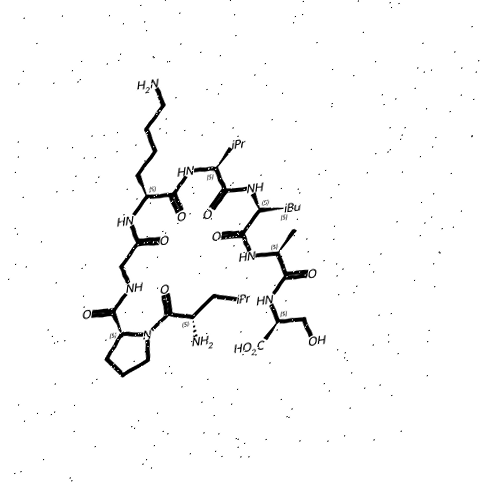 CC[C@H](C)[C@H](NC(=O)[C@@H](NC(=O)[C@H](CCCCN)NC(=O)CNC(=O)[C@@H]1CCCN1C(=O)[C@@H](N)CC(C)C)C(C)C)C(=O)N[C@@H](C)C(=O)N[C@@H](CO)C(=O)O